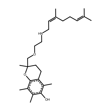 CC(C)=CCCC(C)=CCNCCOCC1(C)CCc2c(C)c(O)c(C)c(C)c2O1